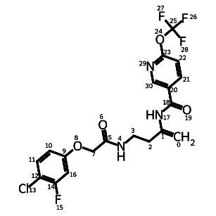 C=C(CCNC(=O)COc1ccc(Cl)c(F)c1)NC(=O)c1ccc(OC(F)(F)F)nc1